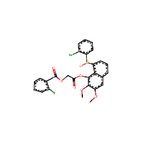 COc1cc2cccc([S+]([O-])c3ccccc3Br)c2c(OC(=O)COC(=O)c2ccccc2F)c1OC